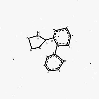 [c]1cccc(-c2ccccc2)c1C1CCCN1